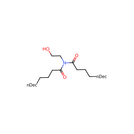 CCCCCCCCCCCCCC(=O)N(CCO)C(=O)CCCCCCCCCCCCC